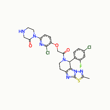 Cc1nn2c3c(nc2s1)CCN(C(=O)COc1ccc(N2CCNCC2=O)nc1Cl)C3c1ccc(Cl)cc1F